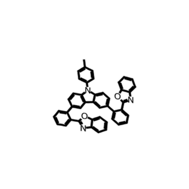 Cc1ccc(-n2c3ccc(-c4ccccc4-c4nc5ccccc5o4)cc3c3cc(-c4ccccc4-c4nc5ccccc5o4)ccc32)cc1